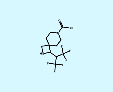 O=C(O)N1CCC2(CC1)CNC2C(C(F)(F)F)C(F)(F)F